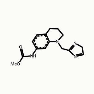 COC(=O)Nc1ccc2c(c1)N(CC1=NCC=N1)CCC2